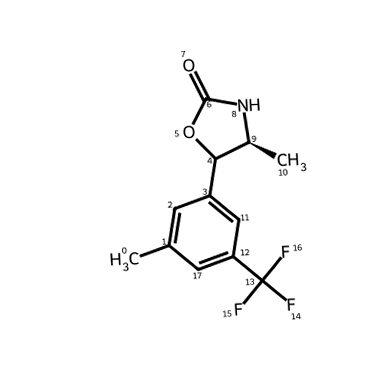 Cc1cc(C2OC(=O)N[C@H]2C)cc(C(F)(F)F)c1